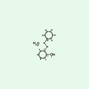 O.Oc1ccccc1CCc1ccccc1